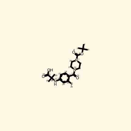 CC(C)(C)OC(=O)N1CCN(C(=O)c2ccc(NC(C)(C)C(=O)O)cc2F)CC1